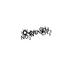 C[Si](C)(C)CCOCn1cc(-c2ccccc2[N+](=O)[O-])cn1